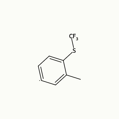 Cc1c[c]ccc1SC(F)(F)F